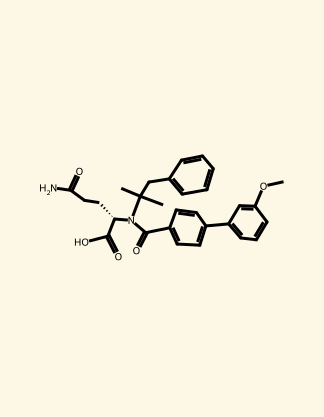 COc1cccc(-c2ccc(C(=O)N([C@@H](CCC(N)=O)C(=O)O)C(C)(C)Cc3ccccc3)cc2)c1